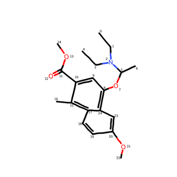 CCN(CC)C(C)Oc1cc(C(=O)OC)c(C)c2ccc(OC)cc12